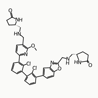 COc1nc(-c2cccc(-c3cccc(-c4ccc5oc(CNC[C@@H]6CCC(=O)N6)nc5c4)c3Cl)c2Cl)ccc1CNC[C@@H]1CCC(=O)N1